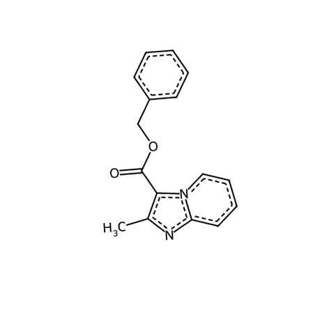 Cc1nc2ccccn2c1C(=O)OCc1ccccc1